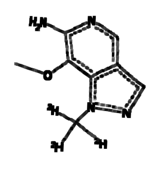 [2H]C([2H])([2H])n1ncc2cnc(N)c(OC)c21